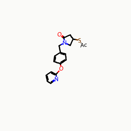 CC(=O)SC1CC(=O)N(Cc2ccc(Oc3ccccn3)cc2)C1